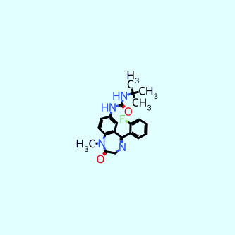 CN1C(=O)CN=C(c2ccccc2F)c2cc(NC(=O)NC(C)(C)C)ccc21